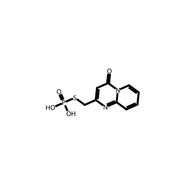 O=c1cc(CSP(=O)(O)O)nc2ccccn12